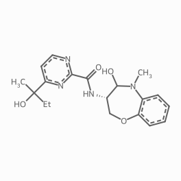 CCC(C)(O)c1ccnc(C(=O)N[C@H]2COc3ccccc3N(C)C2O)n1